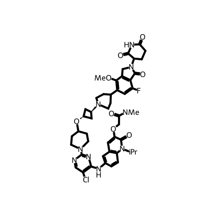 CNC(=O)COc1cc2cc(Nc3nc(N4CCC(O[C@H]5C[C@H](N6CCC(c7cc(F)c8c(c7OC)CN(C7CCC(=O)NC7=O)C8=O)CC6)C5)CC4)ncc3Cl)ccc2n(C(C)C)c1=O